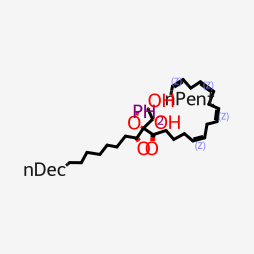 CCCCC/C=C\C/C=C\C/C=C\C/C=C\CCCC(=O)C(OP)(C(=O)CCCCCCCCCCCCCCCCC)C(O)CO